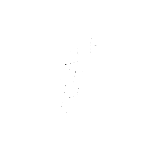 CC1(C)COC2(CC[C@]3(CC#C[Si](C)(C)C)[C@H]4CC[C@@]5(C)[C@@H](CCC56OCC(C)(C)CO6)[C@@H]4CCC3(O)C2)OC1